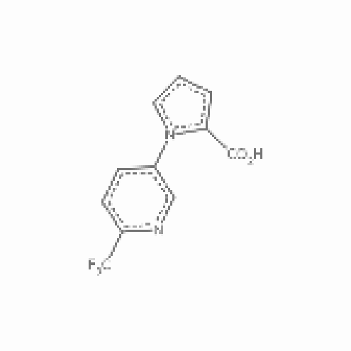 O=C(O)c1cccn1-c1ccc(C(F)(F)F)nc1